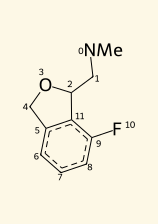 CNCC1OCc2cccc(F)c21